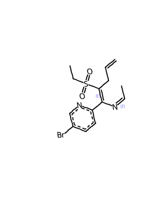 C=CC/C(=C(\N=C/C)c1ccc(Br)cn1)S(=O)(=O)CC